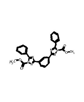 COC(=O)n1nc(-c2cccc(-c3nc(-c4ccccc4)n(C(=O)OC)n3)c2)nc1-c1ccccc1